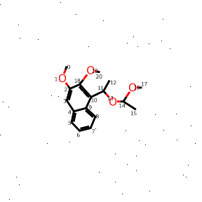 COc1cc2ccccc2c(C(C)OC(C)OC)c1OC